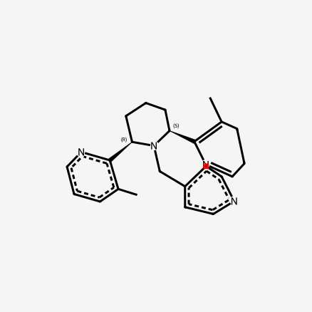 CC1=C([C@@H]2CCC[C@H](c3ncccc3C)N2Cc2ccncc2)N=CCC1